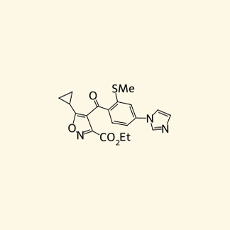 CCOC(=O)c1noc(C2CC2)c1C(=O)c1ccc(-n2ccnc2)cc1SC